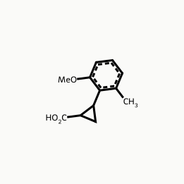 COc1cccc(C)c1C1CC1C(=O)O